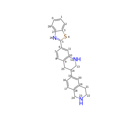 c1ccc2sc(-c3ccc4c(c3)NCC(c3ccc5c(c3)CCNC5)C4)nc2c1